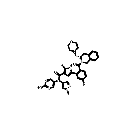 Cc1c(C(=O)N(c2cnc(O)nc2)c2cnn(C)c2)cc(-c2cc(F)ccc2C(=O)N2Cc3ccccc3C[C@H]2CN2CCOCC2)n1C